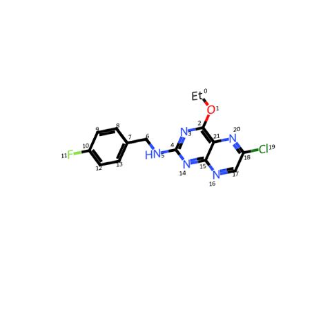 CCOc1nc(NCc2ccc(F)cc2)nc2ncc(Cl)nc12